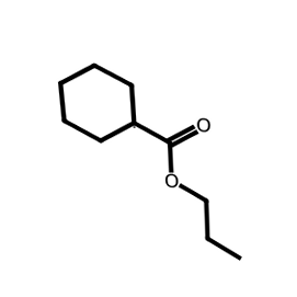 CCCOC(=O)[C]1CCCCC1